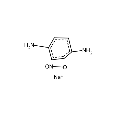 Nc1ccc(N)cc1.O=N[O-].[Na+]